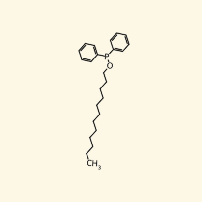 CCCCCCCCCCCCOP(c1ccccc1)c1ccccc1